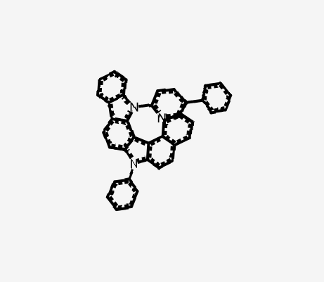 c1ccc(-c2ccc(-n3c4ccccc4c4ccc5c(c6c7ccccc7ccc6n5-c5ccccc5)c43)nc2)cc1